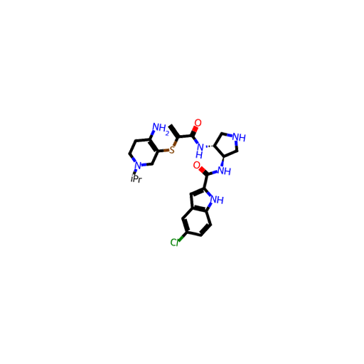 C=C(SC1=C(N)CCN(C(C)C)C1)C(=O)N[C@@H]1CNC[C@H]1NC(=O)c1cc2cc(Cl)ccc2[nH]1